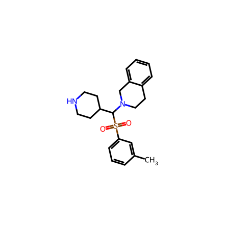 Cc1cccc(S(=O)(=O)C(C2CCNCC2)N2CCc3ccccc3C2)c1